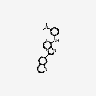 CN(C)c1cccc(Nc2nccn3c(-c4ccc5cccnc5c4)cnc23)c1